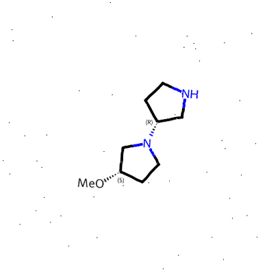 CO[C@H]1CCN([C@@H]2CCNC2)C1